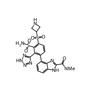 CNC(=O)c1nc2c(-c3ccc(S(=O)(=O)C4CNC4)c(S(N)(=O)=O)c3-c3nn[nH]n3)cccc2[nH]1